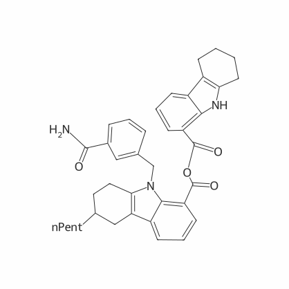 CCCCCC1CCc2c(c3cccc(C(=O)OC(=O)c4cccc5c6c([nH]c45)CCCC6)c3n2Cc2cccc(C(N)=O)c2)C1